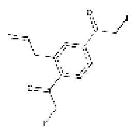 C=CCc1cc(C(=O)CI)ccc1C(=O)CI